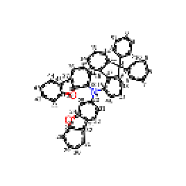 c1ccc(C2(c3ccccc3)c3ccccc3-c3c(N(c4ccc5c(c4)oc4ccccc45)c4cccc5c4oc4ccccc45)cccc32)cc1